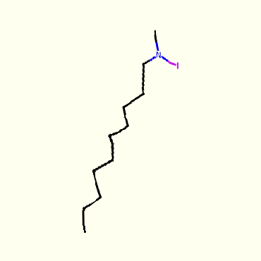 CCCCCCCCCCN(C)I